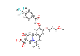 COCCCOc1cc2c(cc1OCC(=O)c1ccc(C(F)(F)F)cc1)-c1cc(=O)c(C(=O)O)cn1C(C(C)C)C2